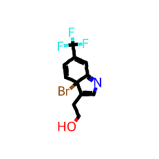 OCCC1=CN=C2C=C(C(F)(F)F)C=CC12Br